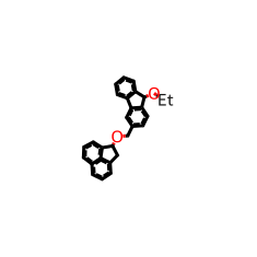 CCOC1c2ccccc2-c2cc(COC3Cc4cccc5cccc3c45)ccc21